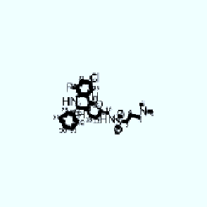 CN(C)CCCS(=O)(=O)NC[C@H]1CC[C@@H]2[C@H](O1)c1cc(Cl)cc(F)c1N[C@H]2c1ccccc1